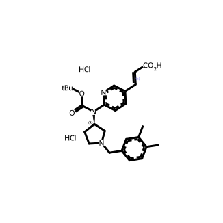 Cc1ccc(CN2CC[C@@H](N(C(=O)OC(C)(C)C)c3ccc(/C=C/C(=O)O)cn3)C2)cc1C.Cl.Cl